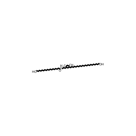 CCCCC.O=C(CCCCCCCCCCCCCCCCCO)OCCCCCCCCCCCCCCCCCCCCCCCCCCCCO